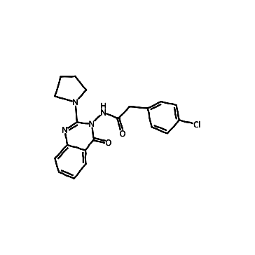 O=C(Cc1ccc(Cl)cc1)Nn1c(N2CCCC2)nc2ccccc2c1=O